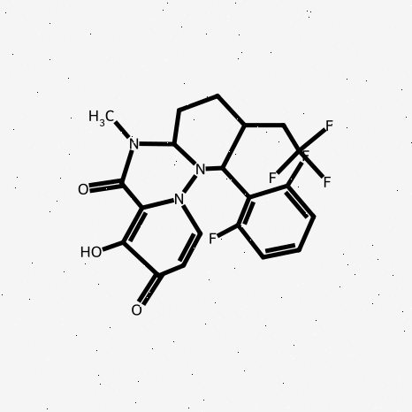 CN1C(=O)c2c(O)c(=O)ccn2N2C(c3c(F)cccc3F)C(CC(F)(F)F)CCC12